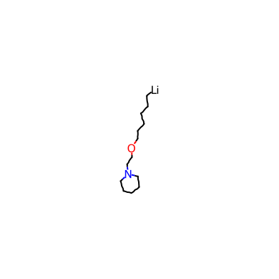 [Li][CH2]CCCCCOCCN1CCCCC1